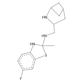 CC1(NCC2CC3CC(C3)N2)Nc2ccc(F)cc2S1